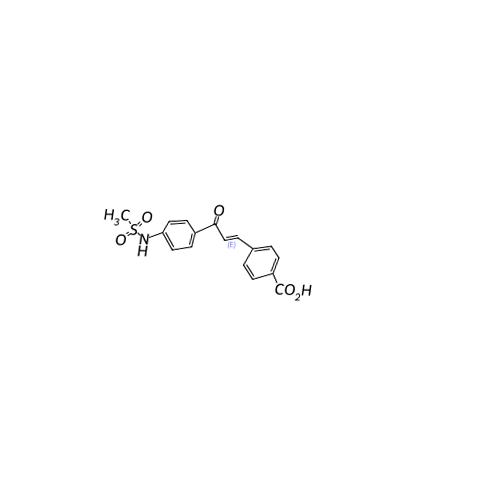 CS(=O)(=O)Nc1ccc(C(=O)/C=C/c2ccc(C(=O)O)cc2)cc1